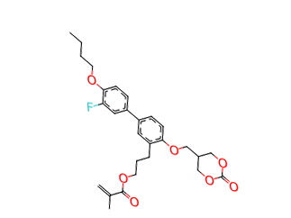 C=C(C)C(=O)OCCCc1cc(-c2ccc(OCCCC)c(F)c2)ccc1OCC1COC(=O)OC1